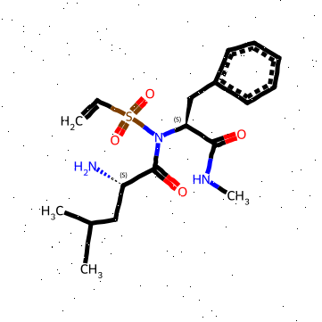 C=CS(=O)(=O)N(C(=O)[C@@H](N)CC(C)C)[C@@H](Cc1ccccc1)C(=O)NC